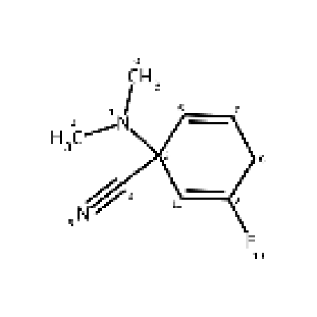 CN(C)C1(C#N)C=C[CH]C(F)=C1